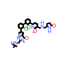 COc1nc(-c2cccc(-c3cccc(-c4cc5c(=O)n(C)c(CNC(C)(C)C)nn5c4)c3Cl)c2Cl)ccc1CNCC1CCC(=O)N1